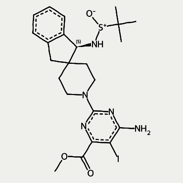 COC(=O)c1nc(N2CCC3(CC2)Cc2ccccc2[C@H]3N[S+]([O-])C(C)(C)C)nc(N)c1I